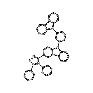 c1ccc(-c2nnc(-c3ccc4c(c3)c3ccccc3n4-c3cccc(-n4c5ccccc5c5ccccc54)c3)n2-c2ccccc2)cc1